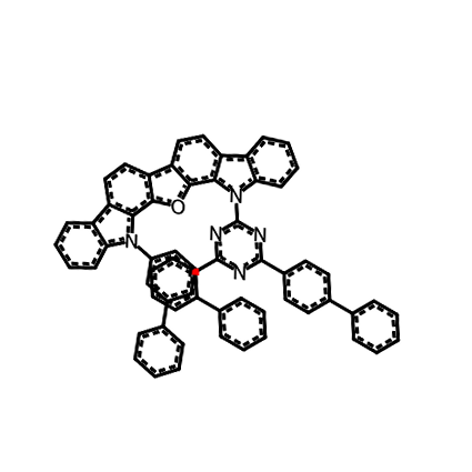 c1ccc(-c2ccc(-c3nc(-c4ccccc4-c4ccccc4)nc(-n4c5ccccc5c5ccc6c7ccc8c9ccccc9n(-c9cccc(-c%10ccccc%10)c9)c8c7oc6c54)n3)cc2)cc1